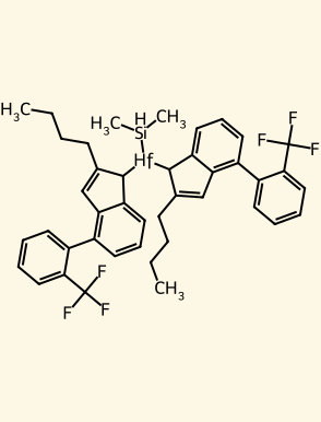 CCCCC1=Cc2c(-c3ccccc3C(F)(F)F)cccc2[CH]1[Hf]([CH]1C(CCCC)=Cc2c(-c3ccccc3C(F)(F)F)cccc21)[SiH](C)C